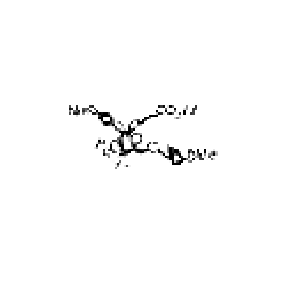 COc1ccc(COCC2O[C@@H](OCCCC(=O)O)C(OCc3ccc(OC)cc3)[C@@H](C)[C@@H]2C)cc1